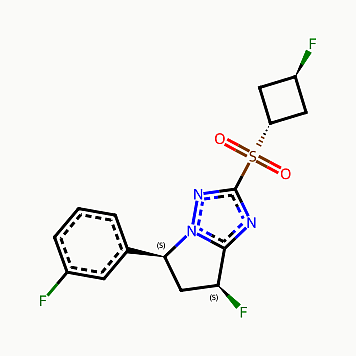 O=S(=O)(c1nc2n(n1)[C@H](c1cccc(F)c1)C[C@@H]2F)[C@H]1C[C@H](F)C1